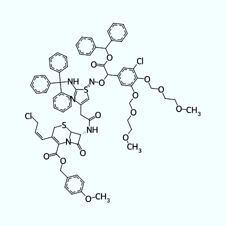 COCCOCOc1cc(C(ON=S2C=C(CC(=O)N[C@@H]3C(=O)N4C(C(=O)OCc5ccc(OC)cc5)=C(/C=C\CCl)CSC34)N=C2NC(c2ccccc2)(c2ccccc2)c2ccccc2)C(=O)OC(c2ccccc2)c2ccccc2)cc(Cl)c1OCOCCOC